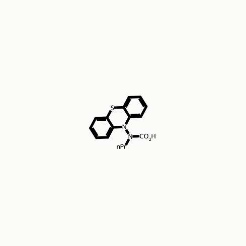 CCCN(C(=O)O)N1c2ccccc2Sc2ccccc21